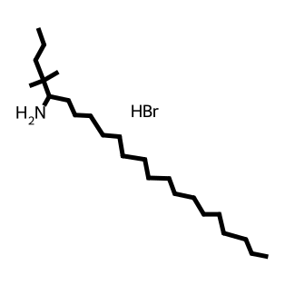 Br.CCCCCCCCCCCCCCCCCC(N)C(C)(C)CCC